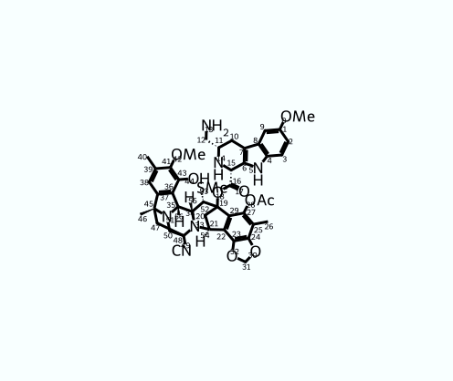 COc1ccc2[nH]c3c(c2c1)C[C@@H](CN)N[C@H]3C(=O)OC12C[C@@H](c3c4c(c(C)c(OC(C)=O)c31)OCO4)N1[C@H]([C@H]3c4c(cc(C)c(OC)c4O)[C@@]4(C)CC1(C#N)CN34)[C@@H]2SC